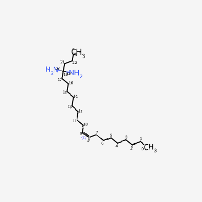 CCCCCCCC/C=C\CCCCCCCCC(N)(N)CCC